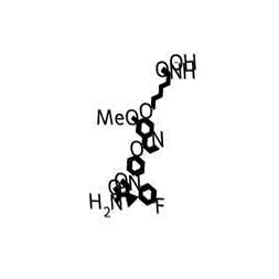 COc1cc2c(Oc3ccc(N(C(=O)C4(C(N)=O)CC4)c4ccc(F)cc4)cc3)ccnc2cc1OCCCCCC(=O)NO